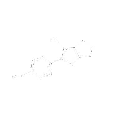 COc1ccc(-n2nc3c(c2O)CSC3)nc1